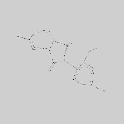 CCc1cc(N)ccc1N1C(=O)c2ccc(Cl)cc2C1=O